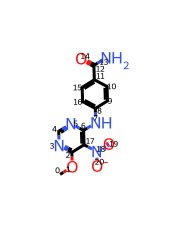 COc1ncnc(Nc2ccc(C(N)=O)cc2)c1[N+](=O)[O-]